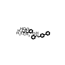 CC(C)(C)N(Cc1cccc(Oc2ccccc2NCc2ccc(-c3ccccc3)cc2)c1)C(=O)O